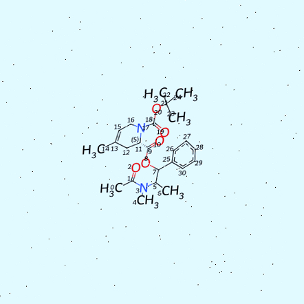 CC(=O)N(C)C(C)C(OC(=O)[C@@H]1CC(C)=CCN1C(=O)OC(C)(C)C)c1ccccc1